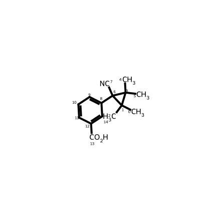 CC1(C)C(C)(C)C1(C#N)c1cccc(C(=O)O)c1